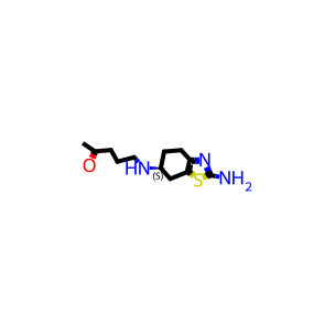 CC(=O)CCCN[C@H]1CCc2nc(N)sc2C1